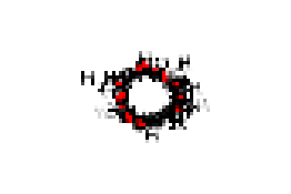 CCCC[C@H]1C(=O)N2CCC[C@@H]2C(=O)N[C@@H](CCCCN)C(=O)N[C@@H](C(C)C)C(=O)N(C)[C@@H](Cc2ccccc2)C(=O)N[C@@H](CCC(=O)O)C(=O)N2CCC[C@@H]2C(=O)N[C@@H](Cc2c[nH]c3ccccc23)C(=O)N[C@@H](Cc2ccc(O)cc2)C(=O)N[C@@H](CC(C)C)C(=O)N[C@H](C(=O)NCC)CSCC(=O)N[C@@H](Cc2ccccc2)C(=O)N(C)[C@@H](Cc2ccccc2)C(=O)N1C